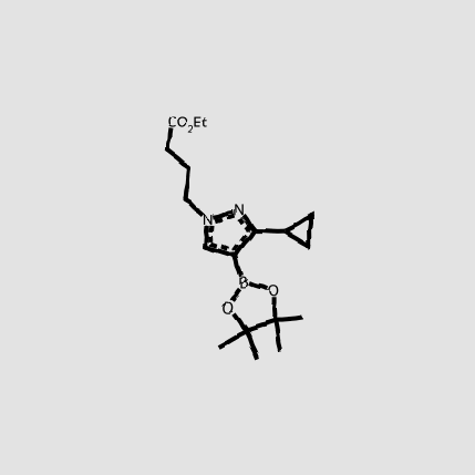 CCOC(=O)CCCn1cc(B2OC(C)(C)C(C)(C)O2)c(C2CC2)n1